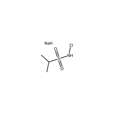 CC(C)S(=O)(=O)NCl.[NaH]